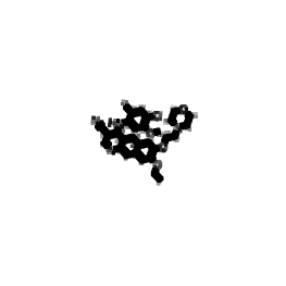 CCOc1cc2cc3ncc(C#N)c(Nc4cc(OC)c(Cl)cc4C)c3cc2cc1OCCN1CCOCC1